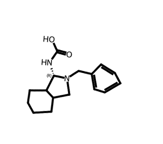 O=C(O)N[C@H]1C2CCCCC2CN1Cc1ccccc1